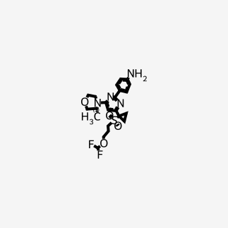 C[C@H]1COCCN1c1cc(C2(S(=O)(=O)CCCOC(F)F)CC2)nc(-c2ccc(N)cc2)n1